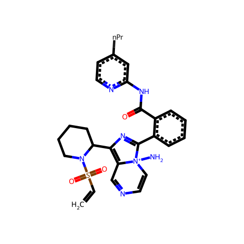 C=CS(=O)(=O)N1CCCCC1C1=C2C=NC=C[N+]2(N)C(c2ccccc2C(=O)Nc2cc(CCC)ccn2)=N1